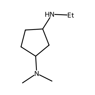 CCNC1CCC(N(C)C)C1